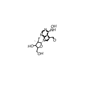 C[C@@]1(F)C(O)C(CO)O[C@H]1n1cc(C=O)c2c(NO)ncnc21